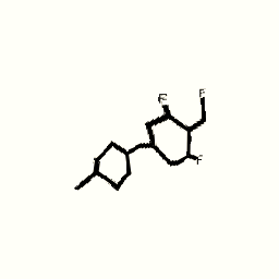 CC1CCC(C2CC(F)C(CF)C(F)C2)CC1